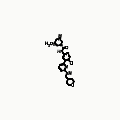 C[C@@H]1CNC[C@H](C(=O)Nc2cc(-c3cccc(NCC4CCOCC4)n3)c(Cl)cn2)C1